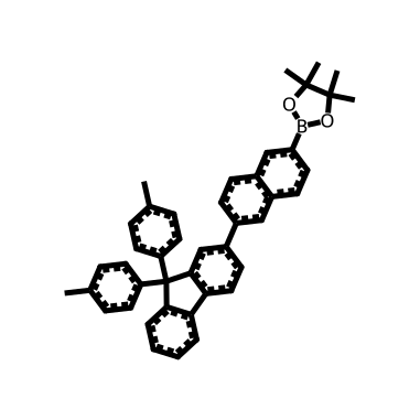 Cc1ccc(C2(c3ccc(C)cc3)c3ccccc3-c3ccc(-c4ccc5cc(B6OC(C)(C)C(C)(C)O6)ccc5c4)cc32)cc1